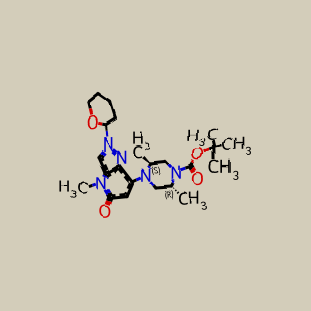 C[C@@H]1CN(c2cc(=O)n(C)c3cn(C4CCCCO4)nc23)[C@@H](C)CN1C(=O)OC(C)(C)C